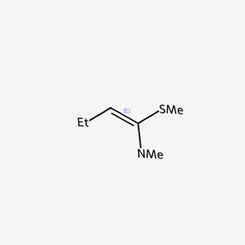 CC/C=C(\NC)SC